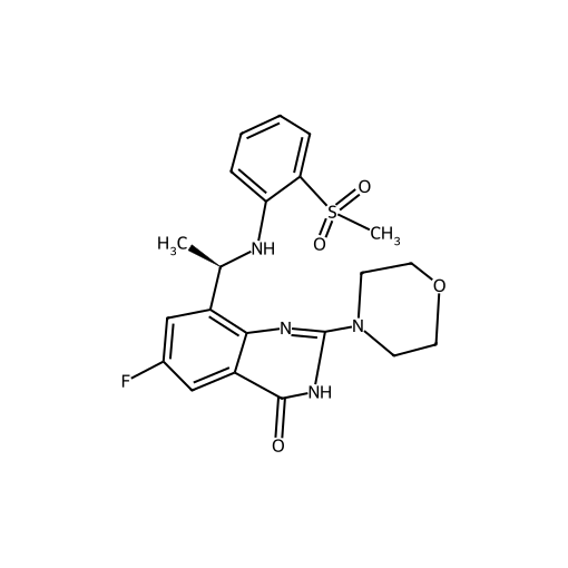 C[C@@H](Nc1ccccc1S(C)(=O)=O)c1cc(F)cc2c(=O)[nH]c(N3CCOCC3)nc12